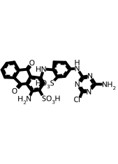 Nc1nc(Cl)nc(Nc2ccc(Nc3cc(S(=O)(=O)O)c(N)c4c3C(=O)c3ccccc3C4=O)c(S(=O)(=O)O)c2)n1